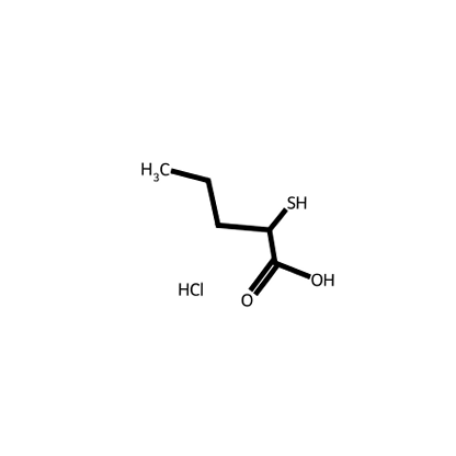 CCCC(S)C(=O)O.Cl